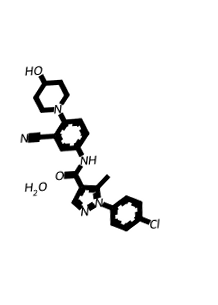 Cc1c(C(=O)Nc2ccc(N3CCC(O)CC3)c(C#N)c2)cnn1-c1ccc(Cl)cc1.O